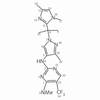 CNc1nc(Nc2cn(C(C)(C)c3nc(C)cn3C)nc2C)ncc1C(F)(F)F